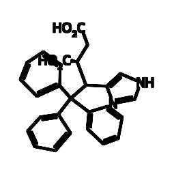 O=C(O)C[C@@H](C(=O)O)C(c1c[nH]cn1)C(c1ccccc1)(c1ccccc1)c1ccccc1